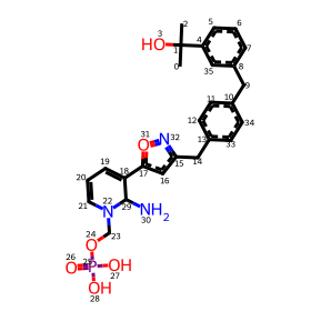 CC(C)(O)c1cccc(Cc2ccc(Cc3cc(C4=CC=CN(COP(=O)(O)O)C4N)on3)cc2)c1